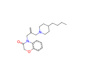 C=C(CN1CCC(CCCC)CC1)CN1C(=O)COc2ccccc21